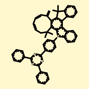 C=C1/C=C\C=C/CC(C)(C)c2c1c1c(c3c4ccccc4n(-c4ccc(-c5nc(-c6ccccc6)nc(-c6ccccc6)n5)cc4)c23)-c2ccccc2C1(C)C